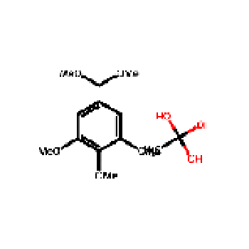 CC(O)(O)O.COCOC.COc1cccc(OC)c1OC